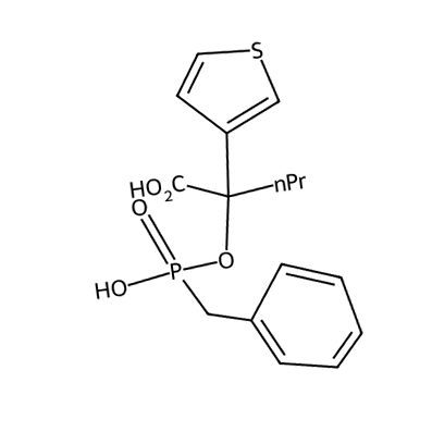 CCCC(OP(=O)(O)Cc1ccccc1)(C(=O)O)c1ccsc1